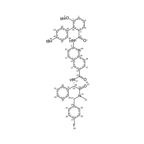 COc1cccc(C(=O)Nc2ccc3cc(C(=O)N[C@H](C(=O)N(C)Cc4ccc(F)cc4)c4ccccc4)ccc3n2)c1-c1ccc(C(C)(C)C)cc1